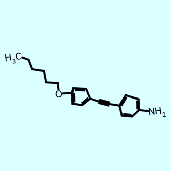 CCCCCCOc1ccc(C#Cc2ccc(N)cc2)cc1